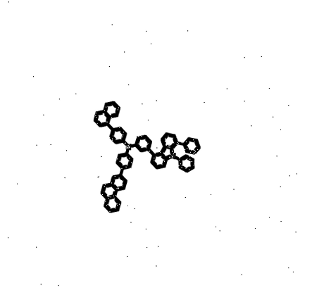 c1ccc(-c2cccc3c4c(-c5cccc(N(c6ccc(-c7ccc8c(ccc9ccccc98)c7)cc6)c6ccc(-c7cccc8ccccc78)cc6)c5)cccc4n(-c4ccccc4)c23)cc1